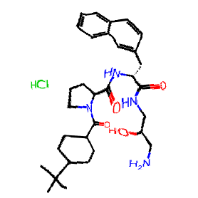 CC(C)(C)C1CCC(C(=O)N2CCCC2C(=O)N[C@H](Cc2ccc3ccccc3c2)C(=O)NCC(O)CN)CC1.Cl